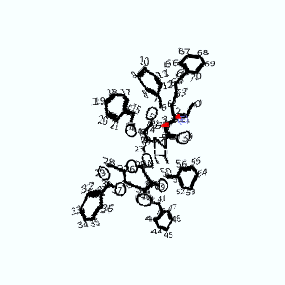 C/C=C/C[C@@H](OCc1ccccc1)[C@@H](OCc1ccccc1)[C@H](COC1OC2COC(c3ccccc3)OC2C(OCc2ccccc2)C1OCc1ccccc1)NC(=O)CCCCCc1ccccc1